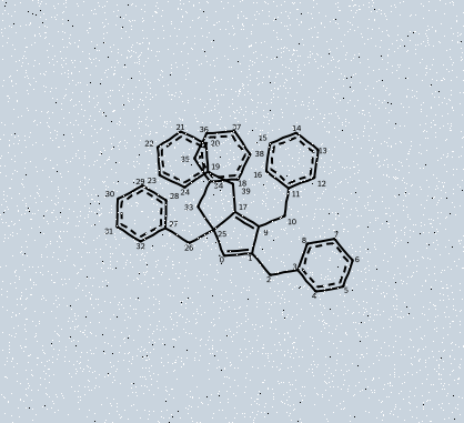 [C]1=C(Cc2ccccc2)C(Cc2ccccc2)=C(Cc2ccccc2)C1(Cc1ccccc1)Cc1ccccc1